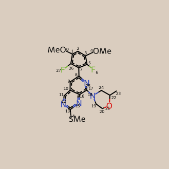 COc1cc(OC)c(F)c(-c2cc3cnc(SC)nc3c(N3CCOC(C)C3)n2)c1F